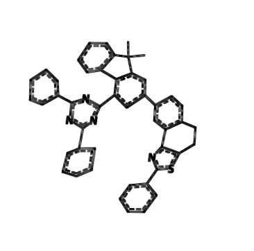 CC1(C)c2ccccc2-c2c(-c3nc(-c4ccccc4)nc(-c4ccccc4)n3)cc(-c3ccc4c(c3)-c3nc(-c5ccccc5)sc3CC4)cc21